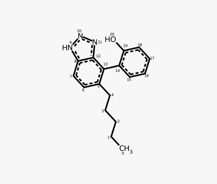 CCCCCc1ccc2[nH]nnc2c1-c1ccccc1O